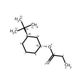 CCC(=O)O[C@@H]1CCC[C@@H](C(C)(C)C)C1